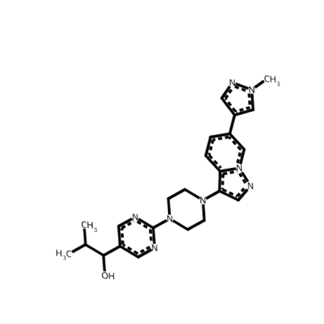 CC(C)C(O)c1cnc(N2CCN(c3cnn4cc(-c5cnn(C)c5)ccc34)CC2)nc1